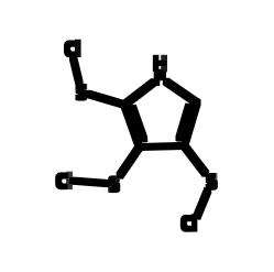 ClSc1c[pH]c(SCl)c1SCl